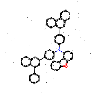 c1ccc(-c2cc(-c3ccc(N(c4ccc(-c5cc6ccccc6c6ccccc56)cc4)c4cccc5oc6ccccc6c45)cc3)cc3ccccc23)cc1